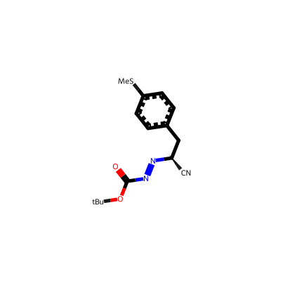 CSc1ccc(C[C@@H](C#N)N=NC(=O)OC(C)(C)C)cc1